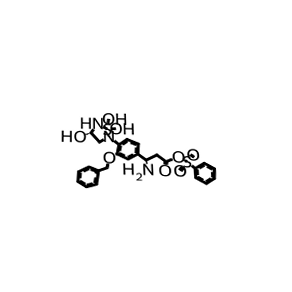 N[C@@H](CC(=O)OS(=O)(=O)c1ccccc1)c1ccc(N2C[C@H](O)NS2(O)O)c(OCc2ccccc2)c1